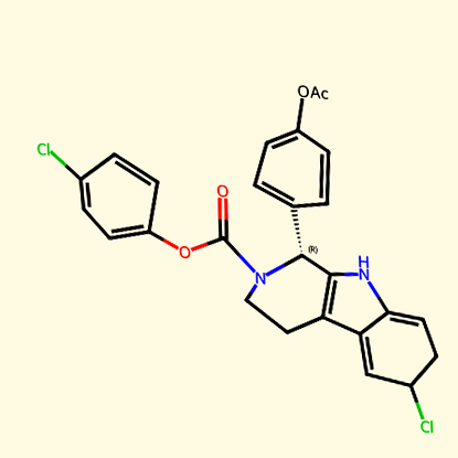 CC(=O)Oc1ccc([C@@H]2c3[nH]c4c(c3CCN2C(=O)Oc2ccc(Cl)cc2)=CC(Cl)CC=4)cc1